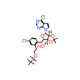 CC1(C)O[C@H]2[C@@H](O1)[C@H](n1ccc3c(Cl)ncnc31)O[C@@H]2[C@H](O)c1ccc(Cl)cc1CCO[Si](C)(C)C(C)(C)C